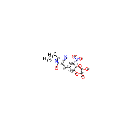 CCN(CC)C(=O)/C(C#N)=C/c1cc([N+](=O)[O-])c2oc(=O)c(=O)oc2c1